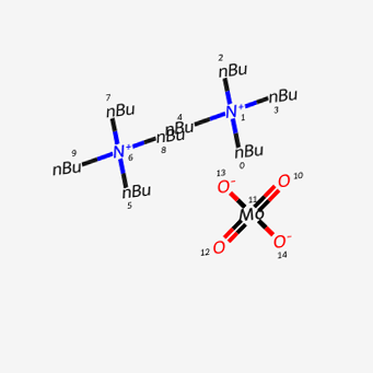 CCCC[N+](CCCC)(CCCC)CCCC.CCCC[N+](CCCC)(CCCC)CCCC.[O]=[Mo](=[O])([O-])[O-]